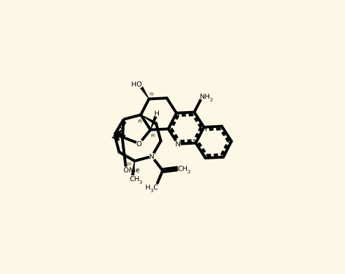 C=C(C)N1CC[C@]23c4c(ccc(OC)c4O[C@H]2c2nc4ccccc4c(N)c2C[C@@H]3O)C[C@@H]1C